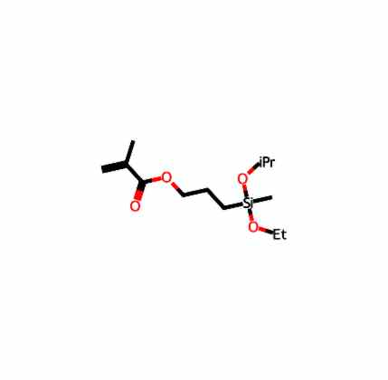 C=C(C)C(=O)OCCC[Si](C)(OCC)OC(C)C